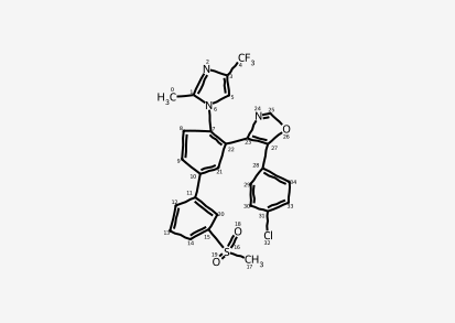 Cc1nc(C(F)(F)F)cn1-c1ccc(-c2cccc(S(C)(=O)=O)c2)cc1-c1ncoc1-c1ccc(Cl)cc1